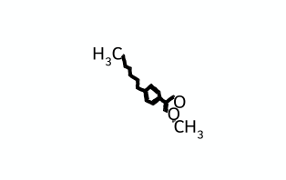 CCCCCCCc1ccc(C(C=O)=COCC)cc1